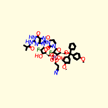 COc1ccc(C(OC[C@H]2O[C@@H](n3ccc(=O)[nH]c3=O)[C@H](F)[C@@]2(O)P(=O)(OCCC#N)OC[C@H]2O[C@@H](n3cnc4c(=O)[nH]c(NC(=O)C(C)C)nc43)[C@H](F)[C@@H]2O)(c2ccccc2)c2ccc(OC)cc2)cc1